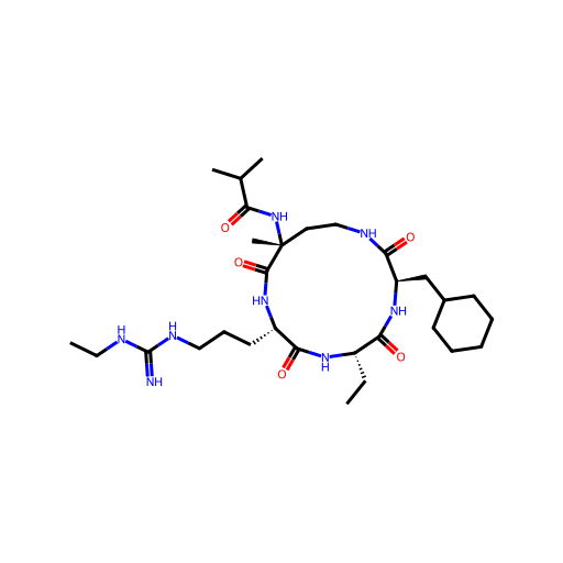 CCNC(=N)NCCC[C@@H]1NC(=O)[C@](C)(NC(=O)C(C)C)CCNC(=O)[C@@H](CC2CCCCC2)NC(=O)[C@H](CC)NC1=O